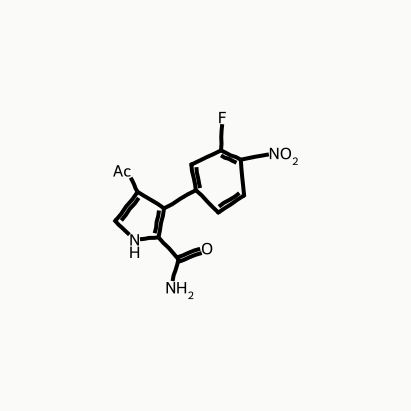 CC(=O)c1c[nH]c(C(N)=O)c1-c1ccc([N+](=O)[O-])c(F)c1